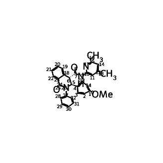 COc1ccc([C@@H]2[C@@H](C(=O)Nc3cc(C)cc(C)n3)c3ccccc3C(=O)N2c2ccccc2)cc1